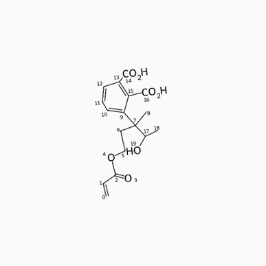 C=CC(=O)OCCC(C)(c1cccc(C(=O)O)c1C(=O)O)C(C)O